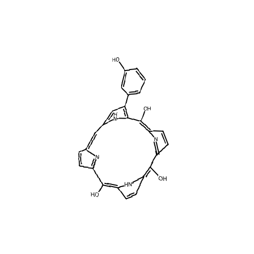 Oc1cccc(-c2cc3cc4nc(c(O)c5ccc([nH]5)c(O)c5nc(c(O)c2[nH]3)C=C5)C=C4)c1